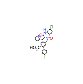 O=C(O)c1ccc(CN2C(=O)c3ccc(Cl)cc3NC(=O)C2Cc2ccccn2)cc1-c1ccc(F)cc1